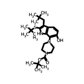 CC(C)(C)Cc1c(SC(C)(C)C)[nH]c2c(N3CCN(C(=O)OC(C)(C)C)CC3)c(O)ccc12